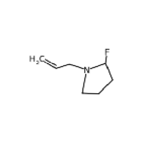 C=CCN1CCCC1F